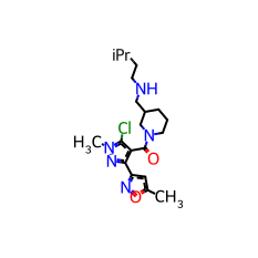 Cc1cc(-c2nn(C)c(Cl)c2C(=O)N2CCCC(CNCCC(C)C)C2)no1